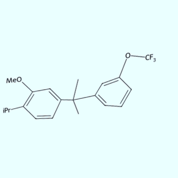 COc1cc(C(C)(C)c2cccc(OC(F)(F)F)c2)ccc1C(C)C